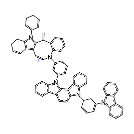 C=C1c2ccccc2N(c2cccc(-n3c4ccccc4c4ccc5c(c6ccccc6n5C5C=CC=C(n6c7ccccc7c7ccccc76)C5)c43)c2)/C=C\c2c3c(n(C4=CCCC=C4)c21)CCC=C3